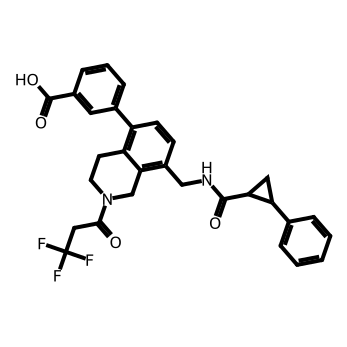 O=C(O)c1cccc(-c2ccc(CNC(=O)C3CC3c3ccccc3)c3c2CCN(C(=O)CC(F)(F)F)C3)c1